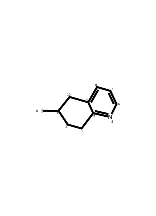 IC1CCc2ncccc2C1